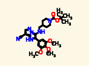 COc1cc(-c2[nH]c3c(C#N)cnn3c2NCC2CCN(C(=O)OC(C)(C)C)CC2)cc(OC)c1OC